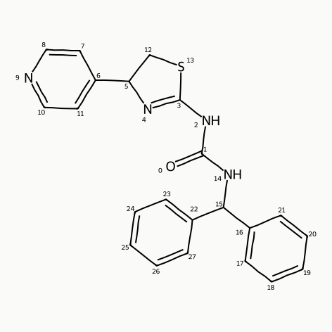 O=C(NC1=NC(c2ccncc2)CS1)NC(c1ccccc1)c1ccccc1